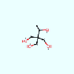 CC(O)C(CO)(CO)CO